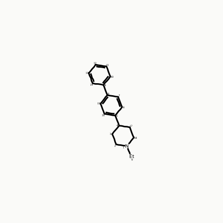 CCN1CCC(c2ccc(-c3ccccc3)cc2)CC1